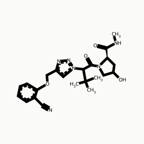 CNC(=O)[C@H]1CC(O)CN1C(=O)C(n1cc(COc2ccccc2C#N)nn1)C(C)(C)C